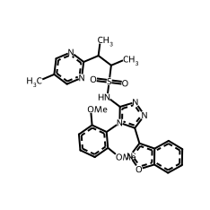 COc1cccc(OC)c1-n1c(NS(=O)(=O)C(C)C(C)c2ncc(C)cn2)nnc1-c1noc2ccccc12